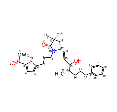 COC(=O)c1ccc(CCCN2C(=O)C(F)(F)C[C@@H]2/C=C/C(O)[C@@H](C)CCCc2ccccc2)s1